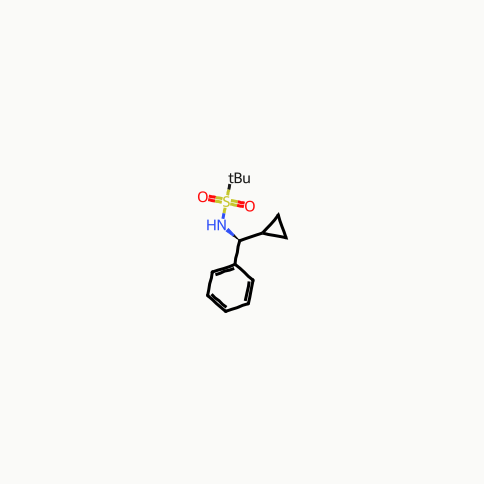 CC(C)(C)S(=O)(=O)N[C@H](c1ccccc1)C1CC1